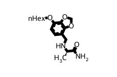 CCCCCCOc1ccc(CN[C@@H](C)C(N)=O)c2c1OCO2